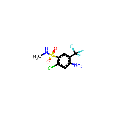 CNS(=O)(=O)c1cc(C(F)(F)F)c(N)cc1Cl